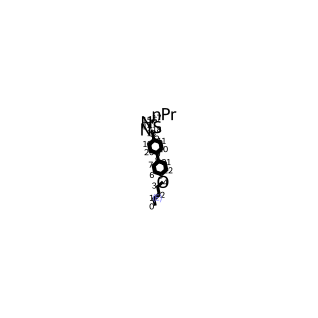 C/C=C/COc1ccc(-c2ccc(-c3nnc(CCC)s3)cc2)cc1